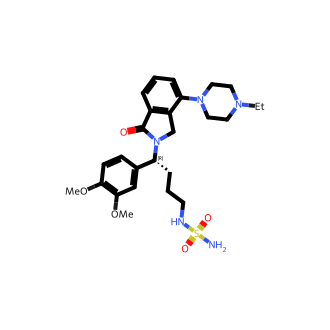 CCN1CCN(c2cccc3c2CN([C@H](CCCNS(N)(=O)=O)c2ccc(OC)c(OC)c2)C3=O)CC1